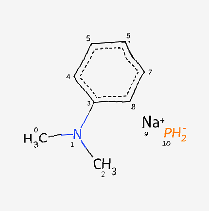 CN(C)c1cc[c]cc1.[Na+].[PH2-]